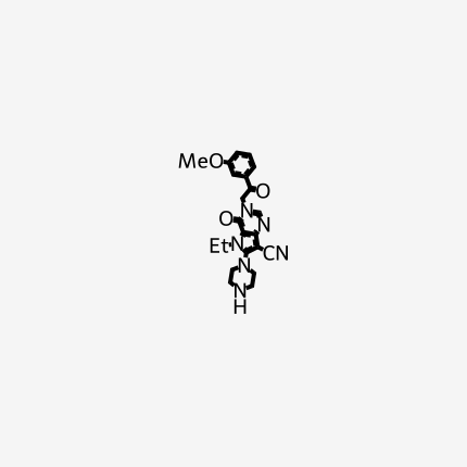 CCn1c(N2CCNCC2)c(C#N)c2ncn(CC(=O)c3cccc(OC)c3)c(=O)c21